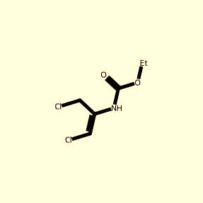 CCOC(=O)NC(=CCl)CCl